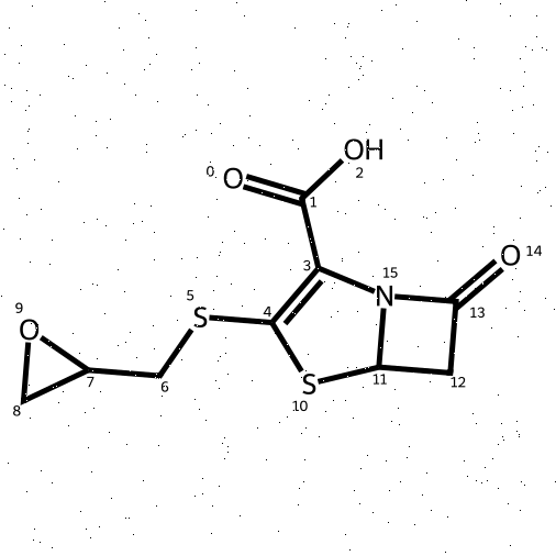 O=C(O)C1=C(SCC2CO2)SC2CC(=O)N12